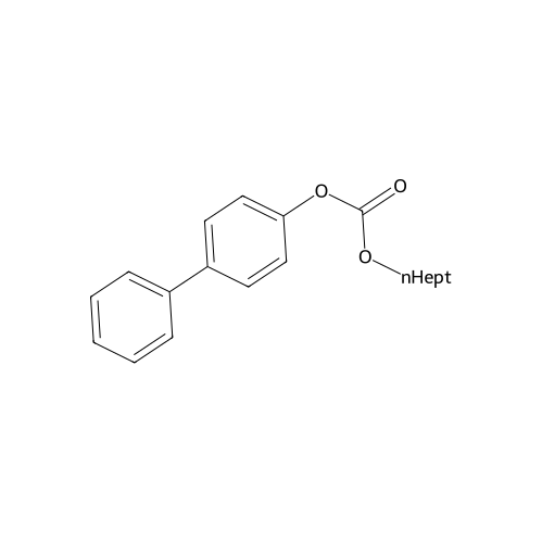 CCCCCCCOC(=O)Oc1ccc(-c2ccccc2)cc1